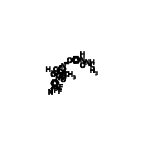 CCNC(=O)Nc1ccc(OCCN2C[C@@]3(C)O[C@@](C)(C2)[C@H]2C(=O)N(c4ccc(C#N)c(C(F)(F)F)c4)C(=O)[C@H]23)cc1